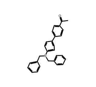 CC(=O)c1ccc(-c2ccc(N(Cc3ccccc3)Cc3ccccc3)cc2)cc1